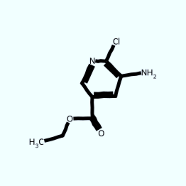 CCOC(=O)c1cnc(Cl)c(N)c1